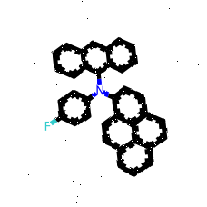 Fc1ccc(N(c2c3ccccc3cc3ccccc23)c2ccc3ccc4cccc5ccc2c3c45)cc1